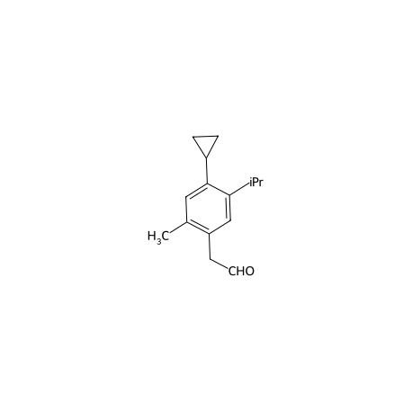 Cc1cc(C2CC2)c(C(C)C)cc1CC=O